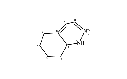 C1=[N+]NC2CCCCC2=C1